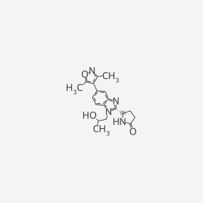 Cc1noc(C)c1-c1ccc2c(c1)nc([C@@H]1CCC(=O)N1)n2CC(C)O